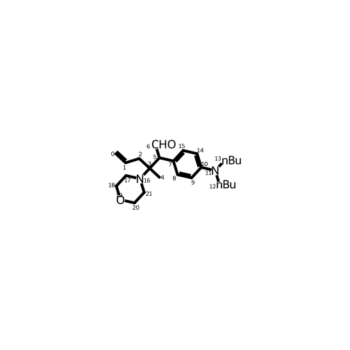 C=CCC(C)(C(C=O)c1ccc(N(CCCC)CCCC)cc1)N1CCOCC1